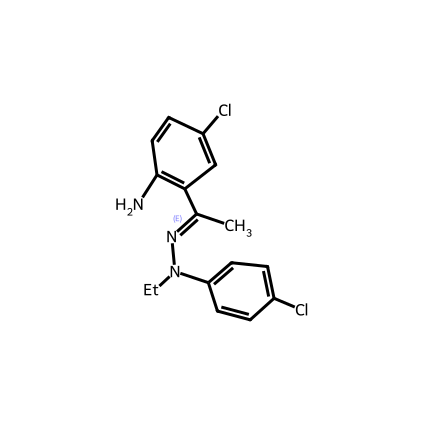 CCN(/N=C(\C)c1cc(Cl)ccc1N)c1ccc(Cl)cc1